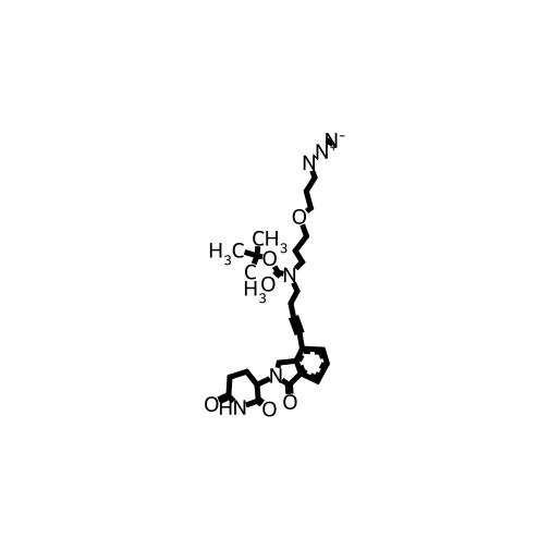 CC(C)(C)OC(=O)N(CCC#Cc1cccc2c1CN(C1CCC(=O)NC1=O)C2=O)CCCOCCCN=[N+]=[N-]